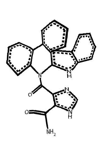 NC(=O)c1[nH]cnc1C(=O)N(c1nc2ccccc2[nH]1)c1ccccc1-c1ccccc1